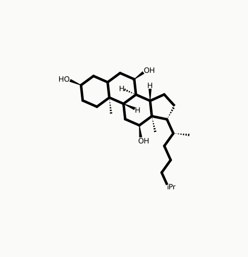 CC(C)CCC[C@@H](C)[C@H]1CC[C@H]2[C@@H]3[C@H](O)CC4C[C@H](O)CC[C@]4(C)[C@H]3C[C@H](O)[C@]12C